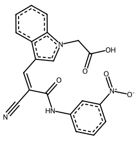 N#CC(=Cc1cn(CC(=O)O)c2ccccc12)C(=O)Nc1cccc([N+](=O)[O-])c1